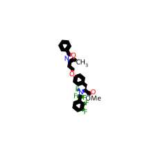 COC(=O)[C@H](Cc1ccc(OCCc2nc(-c3ccccc3)oc2C)cc1)N(F)C(F)(F)c1cccc(F)c1F